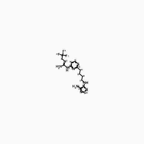 NC(=NCC(F)(F)F)Nc1ccnc(CCCCNc2nsnc2N)n1